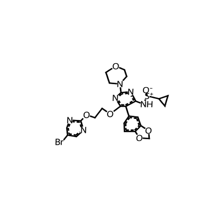 [O-][S+](Nc1nc(N2CCOCC2)nc(OCCOc2ncc(Br)cn2)c1-c1ccc2c(c1)OCO2)C1CC1